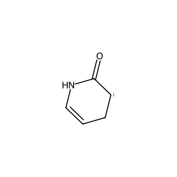 O=C1[C]CC=CN1